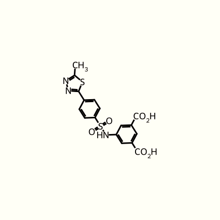 Cc1nnc(-c2ccc(S(=O)(=O)Nc3cc(C(=O)O)cc(C(=O)O)c3)cc2)s1